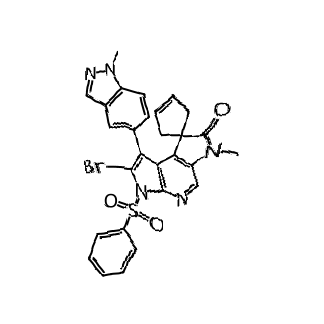 CN1C(=O)C2(CC=CC2)c2c1cnc1c2c(-c2ccc3c(cnn3C)c2)c(Br)n1S(=O)(=O)c1ccccc1